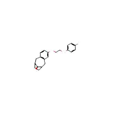 O=C1C2CCC1Cc1cc(OCCOc3ccc(F)cc3)ccc1C2